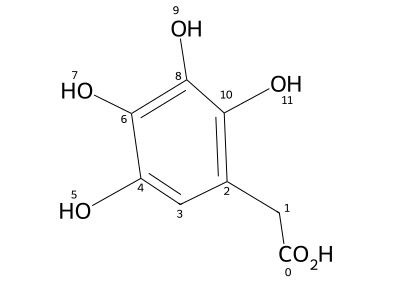 O=C(O)Cc1cc(O)c(O)c(O)c1O